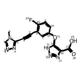 Cn1cnnc1C#Cc1cc(Oc2[nH]nnc2C(=O)O)ccc1F